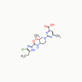 CCc1[nH]c(C(=O)N[C@@H]2CCN(c3nc(C)cc(C(=O)O)n3)C[C@@H]2OC)nc1Cl